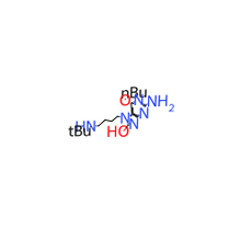 CCCCOc1nc(N)nc2nc(O)n(CCCCNC(C)(C)C)c12